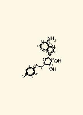 Cc1ccc(SC[C@H]2O[C@@H](n3cnc4c(N)ncnc43)[C@H](O)[C@@H]2O)cc1